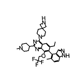 CCc1cc2c(N3CCC4(CC3)CNC4)nc(C3CCN(C)CC3)nc2c(OCC(F)(F)F)c1-c1c(C)ccc2[nH]ncc12